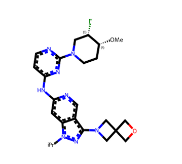 CO[C@@H]1CCN(c2nccc(Nc3cc4c(cn3)c(N3CC5(COC5)C3)nn4C(C)C)n2)C[C@@H]1F